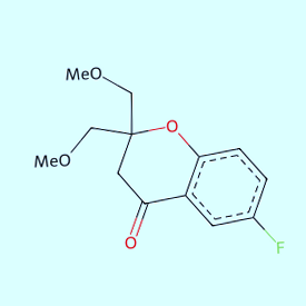 COCC1(COC)CC(=O)c2cc(F)ccc2O1